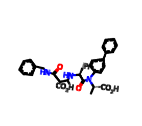 CC(C)[C@H](NC(CC(=O)NCc1ccccc1)C(=O)O)C(=O)N(c1ccc(-c2ccccc2)cc1)[C@@H](C)C(=O)O